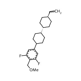 C=C[C@H]1CC[C@H](C2CCC(c3cc(F)c(COC)c(F)c3)CC2)CC1